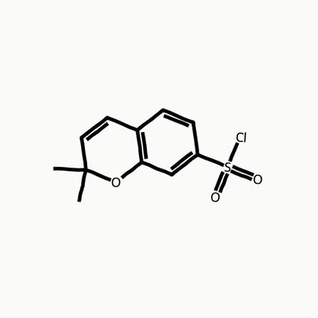 CC1(C)C=Cc2ccc(S(=O)(=O)Cl)cc2O1